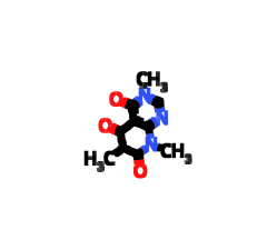 CC1C(=O)c2c(ncn(C)c2=O)N(C)C1=O